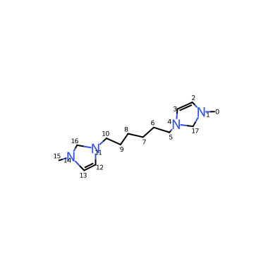 CN1C=CN(CCCCCCN2C=CN(C)C2)C1